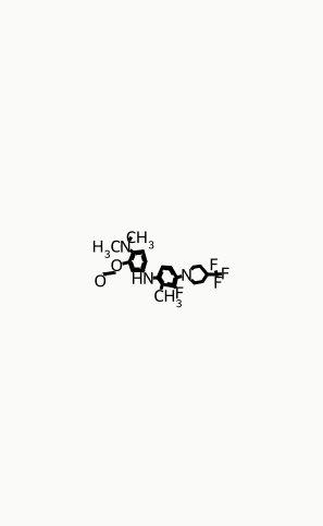 Cc1c(Nc2ccc(N(C)C)c(OCC=O)c2)ccc(N2CCC(C(F)(F)F)CC2)c1F